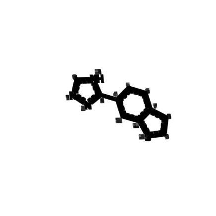 c1nnc(-c2ccc3ccsc3c2)[nH]1